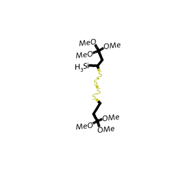 COC(CCSSSSC([SiH3])CC(OC)(OC)OC)(OC)OC